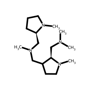 CN(C)C[C@@H]1C(CN(C)C[C@H]2CCCN2C)CCN1C